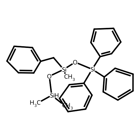 C[SiH](C)O[Si](C)(Cc1ccccc1)O[Si](c1ccccc1)(c1ccccc1)c1ccccc1